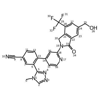 Cn1cnnc1-c1cc(C#N)ccc1-c1ccnc(N2Cc3c(cc(CO)cc3C(F)(F)F)C2=O)c1